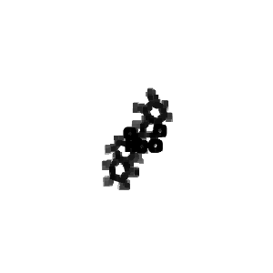 Cc1ccc2oc(=O)c(S(=O)(=O)N3CCc4ccccc4C3)cc2c1